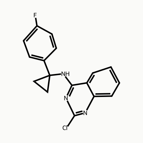 Fc1ccc(C2(Nc3nc(Cl)nc4ccccc34)CC2)cc1